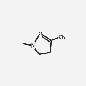 CN1CCC(C#N)=N1